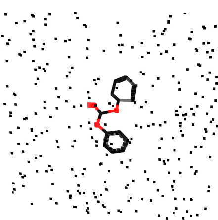 OC(Oc1ccccc1)OC1C=CC=CC1